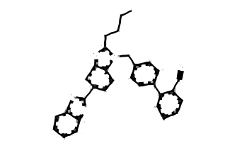 CCCCc1nc2cc(-c3nc4ccccc4o3)ccc2n1Cc1ccc(-c2ccccc2C#N)cc1